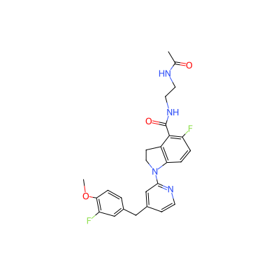 COc1ccc(Cc2ccnc(N3CCc4c3ccc(F)c4C(=O)NCCNC(C)=O)c2)cc1F